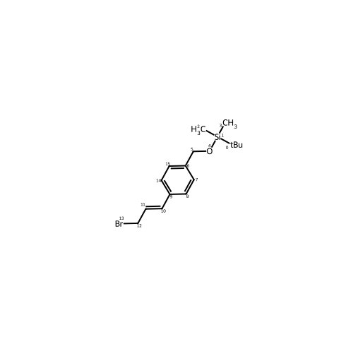 CC(C)(C)[Si](C)(C)OCc1ccc(/C=C/CBr)cc1